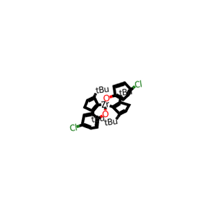 CC(C)(C)C1=CCC(C(C)(C)C)=[C]1[Zr]([O]c1ccc(Cl)cc1)([O]c1ccc(Cl)cc1)[C]1=C(C(C)(C)C)CC=C1C(C)(C)C